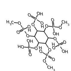 COP(=O)(O)OC1C(OP(=O)(O)O)C(OP(=O)(O)OC)C(OP(=O)(O)O)C(OP(=O)(O)OC)C1OP(=O)(O)O